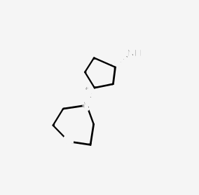 N[C@H]1CC[C@@H](N2CCOCC2)C1